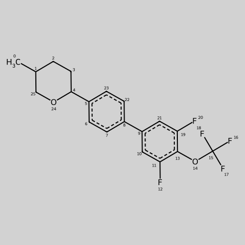 CC1CCC(c2ccc(-c3cc(F)c(OC(F)(F)F)c(F)c3)cc2)OC1